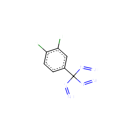 N=NC(N=N)(N=N)c1ccc(Cl)c(Cl)c1